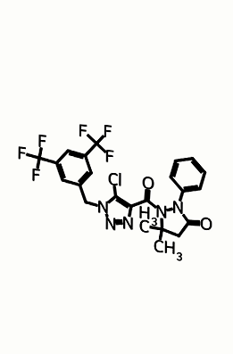 CC1(C)CC(=O)N(c2ccccc2)N1C(=O)c1nnn(Cc2cc(C(F)(F)F)cc(C(F)(F)F)c2)c1Cl